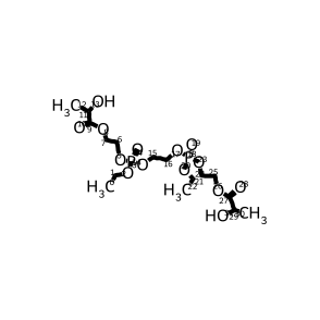 CCOP(=O)(OCCOC(=O)C(C)O)OCCOP(=O)(OCC)OCCOC(=O)C(C)O